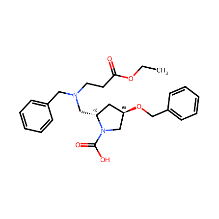 CCOC(=O)CCN(Cc1ccccc1)C[C@@H]1C[C@@H](OCc2ccccc2)CN1C(=O)O